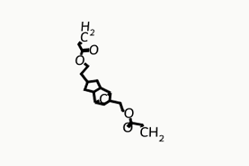 C=CC(=O)OCCC1CC2C3CC(CCOC(=O)C=C)C(C3)C2C1